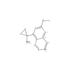 COc1cc(C2(N)CC2)c2ccncc2c1